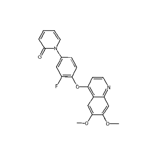 COc1cc2nccc(Oc3ccc(-n4ccccc4=O)cc3F)c2cc1OC